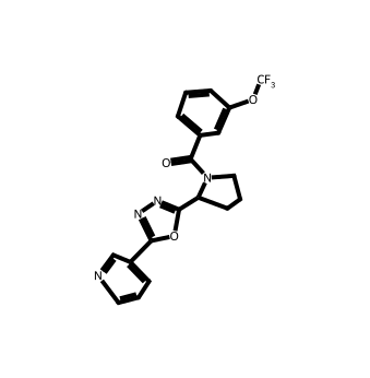 O=C(c1cccc(OC(F)(F)F)c1)N1CCCC1c1nnc(-c2cccnc2)o1